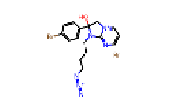 [Br-].[N-]=[N+]=NCCCCN1c2nccc[n+]2CC1(O)c1ccc(Br)cc1